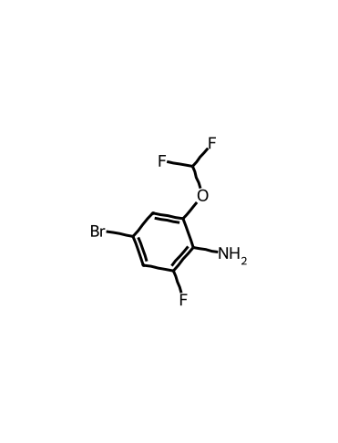 Nc1c(F)cc(Br)cc1OC(F)F